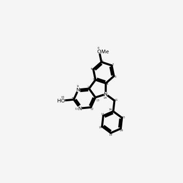 COc1ccc2c(c1)c1nc(O)ncc1n2Cc1ccccc1